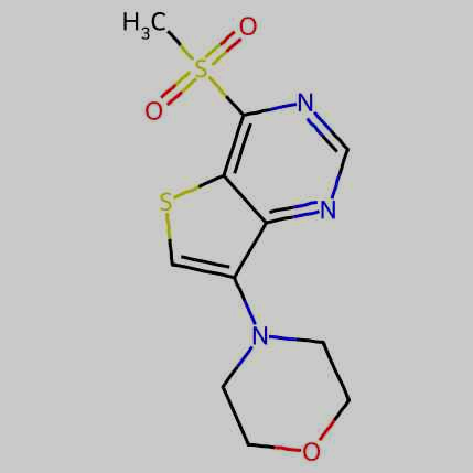 CS(=O)(=O)c1ncnc2c(N3CCOCC3)csc12